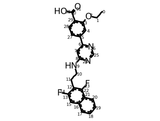 CCOc1cc(-c2cc(NCCc3c(F)cc4ccccc4c3F)ncn2)ccc1C(=O)O